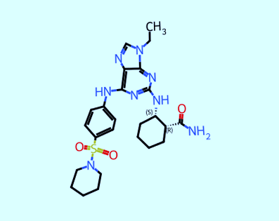 CCn1cnc2c(Nc3ccc(S(=O)(=O)N4CCCCC4)cc3)nc(N[C@H]3CCCC[C@H]3C(N)=O)nc21